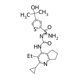 CCc1c(C2CC2)nc2c(c1NC(=O)N=[S@](N)(=O)c1cc(C(C)(C)O)cs1)CCC2